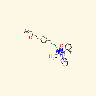 CC(=O)CC(=O)CCc1ccc(CCCCC(=O)N[C@@H](CCN2C3CCC2CC(n2c(C)nnc2C(C)C)C3)c2ccccc2)cc1